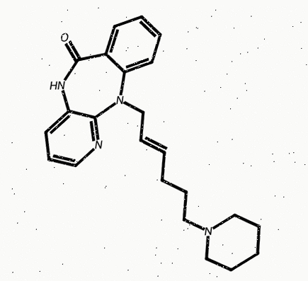 O=C1Nc2cccnc2N(C/C=C/CCCN2CCCCC2)c2ccccc21